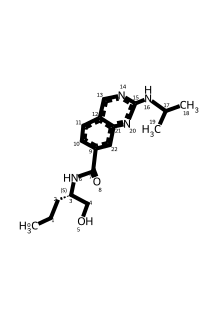 CCC[C@@H](CO)NC(=O)c1ccc2cnc(NC(C)C)nc2c1